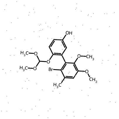 COc1cc(C)c(Br)c(-c2cc(O)ccc2OC(OC)OC)c1OC